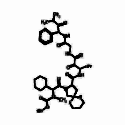 CCCC(NC(=O)C1CC2(CN1C(=O)C(C1CCCCC1)N(C)C(=O)OC(C)(C)C)SCCCS2)C(=O)C(=O)NCC(=O)NC(C(=O)N(C)C)c1ccccc1